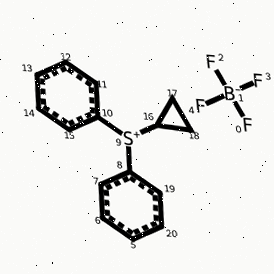 F[B-](F)(F)F.c1ccc([S+](c2ccccc2)C2CC2)cc1